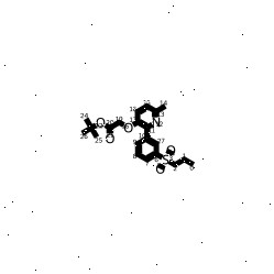 CCCS(=O)(=O)c1cccc(-c2nc(C)ccc2OCC(=O)OC(C)(C)C)c1